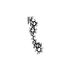 FC(F)(F)c1cccc(N2CCN(CCCCOc3cnc4c(n3)CCCC4)CC2)n1